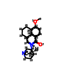 COc1ccc2c(=O)n([C@@H]3CN4CCC3CC4)cc3c2c1CCC3